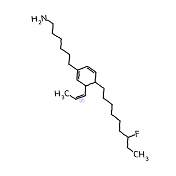 C/C=C\C1C=C(CCCCCCN)C=CC1CCCCCCC(F)CC